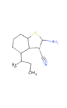 CCC(C)C1CCCC2SC(N)C(C#N)C21